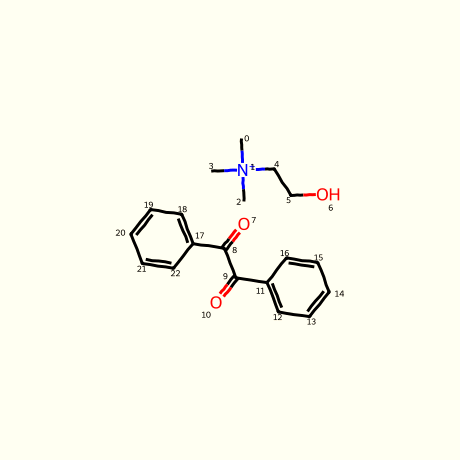 C[N+](C)(C)CCO.O=C(C(=O)c1ccccc1)c1ccccc1